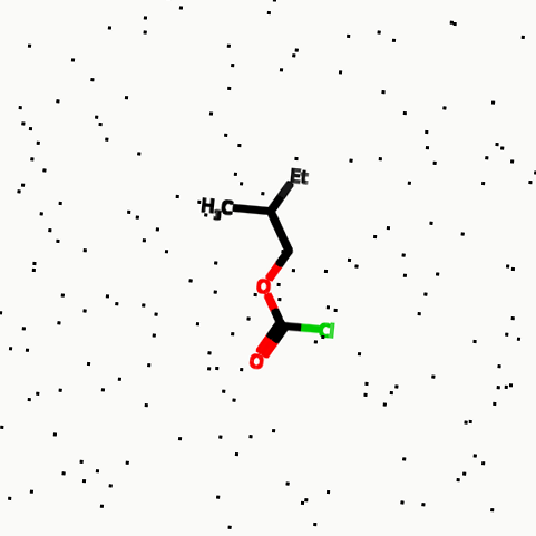 CCC(C)COC(=O)Cl